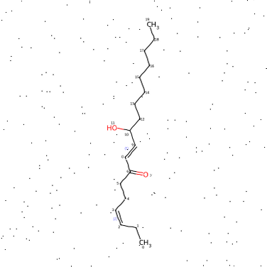 CC/C=C\CCC(=O)/C=C/C(O)CCCCCCCC